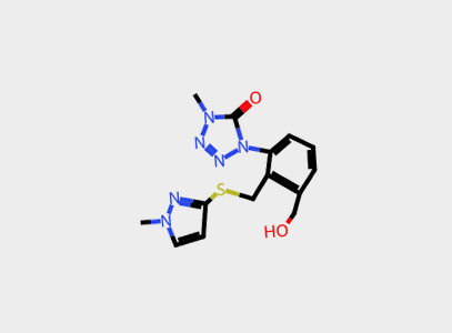 Cn1ccc(SCc2c(CO)cccc2-n2nnn(C)c2=O)n1